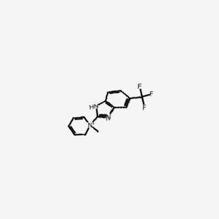 C[N+]1(c2nc3cc(C(F)(F)F)ccc3[nH]2)C=CC=CC1